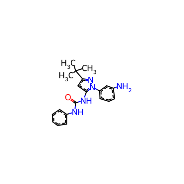 CC(C)(C)c1cc(NC(=O)Nc2ccccc2)n(-c2cccc(N)c2)n1